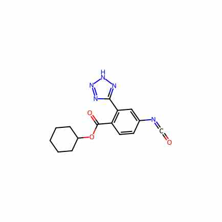 O=C=Nc1ccc(C(=O)OC2CCCCC2)c(-c2nn[nH]n2)c1